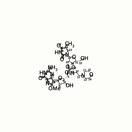 COC1[C@@H](O)[C@@H](COP(=O)(NCCN2CCOCC2)O[C@@H]2C[C@H](n3cc(C)c(=O)[nH]c3=O)O[C@@H]2CO)O[C@H]1n1cnc2c(=O)[nH]c(N)nc21